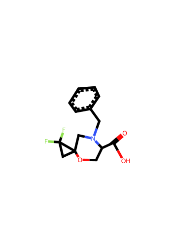 O=C(O)C1COC2(CN1Cc1ccccc1)CC2(F)F